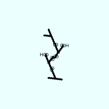 CCCCCCCCC(CCCCCCCC)CCCCCCCCCOC(=O)CCCCCCCN(CCCCCCCC(=O)O)CCCCC(=O)OC(C)CC(C)OC(=O)CCCCN(CCCCCCCC(=O)O)CCCCCCCC(=O)OCCCCCCCCCC(CCCCCCCC)CCCCCCCC